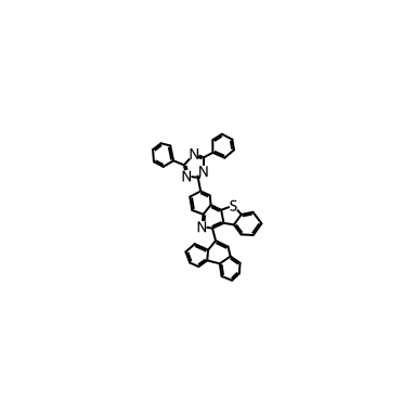 c1ccc(-c2nc(-c3ccccc3)nc(-c3ccc4nc(-c5cc6ccccc6c6ccccc56)c5c6ccccc6sc5c4c3)n2)cc1